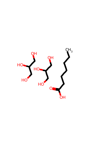 CCCCCCC(=O)O.OCC(O)CO.OCC(O)CO